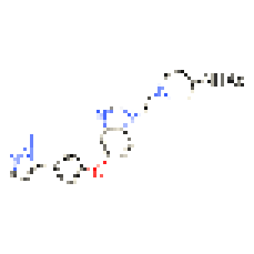 CC(=O)NC1CCN(CCn2cnc3cc(Oc4ccc(-c5ccn[nH]5)cc4)ccc32)CC1